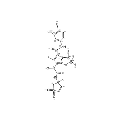 Cc1c(C(=O)C(=O)NC2(C)C=CS(=O)(=O)C2)c2n(c1C(=O)Nc1ccc(F)c(Cl)c1)[C@@H]1C[C@@H]1C2